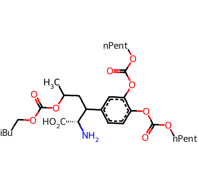 CCCCCOC(=O)Oc1ccc(C(CC(C)OC(=O)OCC(C)CC)[C@H](N)C(=O)O)cc1OC(=O)OCCCCC